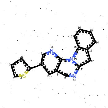 c1csc(-c2cnc3c(cnc4cc5ccccc5n43)c2)c1